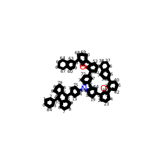 c1ccc(-c2c3ccccc3c(-c3ccc(-n4c5ccc(-c6cccc7c6oc6c(-c8ccc9c(c8)CCCC9)cccc67)cc5c5cc(-c6cccc7c6oc6c(-c8ccc9c(c8)CCCC9)cccc67)ccc54)cc3)c3ccccc23)cc1